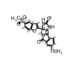 COc1ccc2c(c1)C(=O)N(C[C@@]1(c3cc4cc(S(C)(=O)=O)ccc4o3)NC(=O)NC1=O)C2